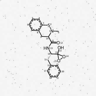 CN1Sc2ccccc2CC1C(=O)N[C@@H](Cc1ccccc1)C1(O)OO1